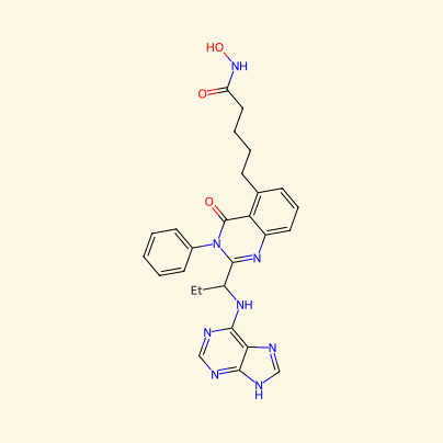 CCC(Nc1ncnc2[nH]cnc12)c1nc2cccc(CCCCC(=O)NO)c2c(=O)n1-c1ccccc1